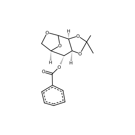 CC1(C)O[C@H]2[C@H](OC(=O)c3ccccc3)[C@H]3COC(O3)[C@H]2O1